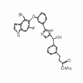 COC(=O)CCc1cccc(C(O)c2cnc(-c3cccc(Oc4c(F)cc5[nH]ccc5c4Br)c3)[nH]2)c1